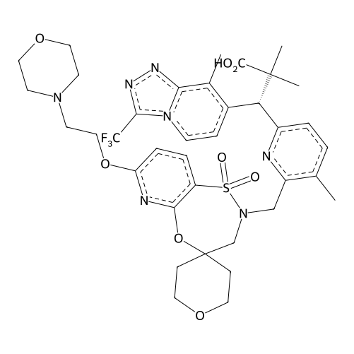 Cc1ccc([C@H](c2ccn3c(C(F)(F)F)nnc3c2C)C(C)(C)C(=O)O)nc1CN1CC2(CCOCC2)Oc2nc(OCCN3CCOCC3)ccc2S1(=O)=O